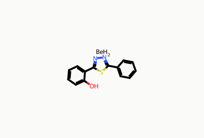 Oc1ccccc1-c1nnc(-c2ccccc2)s1.[BeH2]